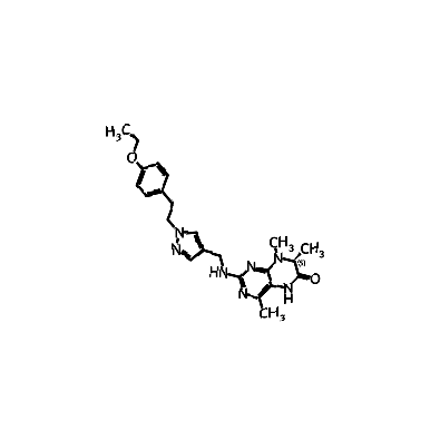 CCOc1ccc(CCn2cc(CNc3nc(C)c4c(n3)N(C)[C@@H](C)C(=O)N4)cn2)cc1